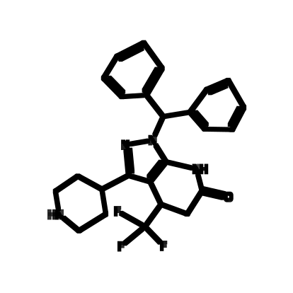 O=C1CC(C(F)(F)F)c2c(C3CCNCC3)nn(C(c3ccccc3)c3ccccc3)c2N1